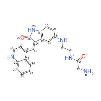 NCC(=O)NCCNc1ccc2c(c1)C(=Cc1ccnc3ccccc13)C(=O)N2